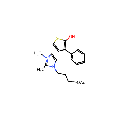 CC(=O)OCCCn1cc[n+](C)c1C.Oc1sccc1-c1ccccc1